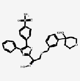 COC1(c2cccc(COC/C(=N/O)c3nc(-c4ccccc4)c(-c4ccc(S(N)(=O)=O)cc4)o3)c2)CCOCC1